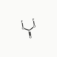 O=[P](OF)OF